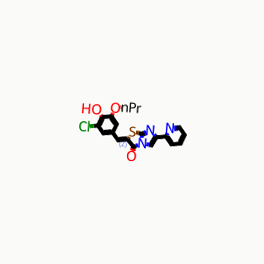 CCCOc1cc(/C=c2\sc3nc(-c4ccccn4)cn3c2=O)cc(Cl)c1O